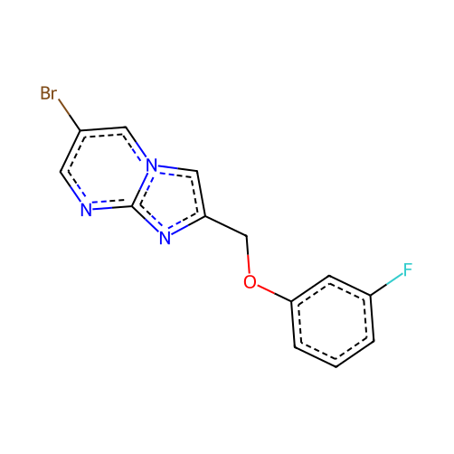 Fc1cccc(OCc2cn3cc(Br)cnc3n2)c1